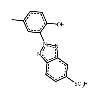 Cc1ccc(O)c(-n2nc3ccc(S(=O)(=O)O)cc3n2)c1